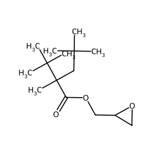 CC(C)(C)CC(C)(C(=O)OCC1CO1)C(C)(C)C